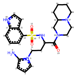 Nc1cccn1CCC(NS(=O)(=O)c1cccc2[nH]ccc12)C(=O)N1CCN2CCCCC2C1